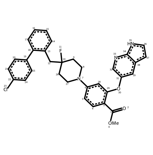 COC(=O)c1ccc(N2CCC(F)(Cc3ccccc3-c3ccc(Cl)cc3)CC2)cc1Oc1cnc2[nH]ccc2c1